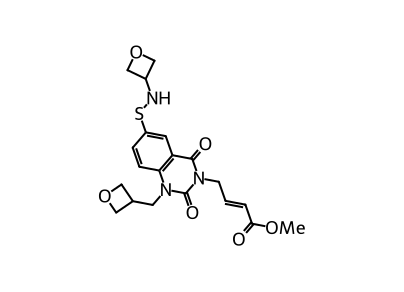 COC(=O)/C=C/Cn1c(=O)c2cc(SNC3COC3)ccc2n(CC2COC2)c1=O